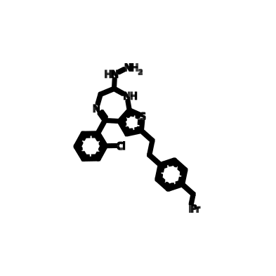 CC(C)Cc1ccc(CCc2cc3c(s2)NC(NN)CN=C3c2ccccc2Cl)cc1